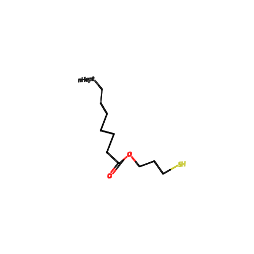 CCCCCCCCCCCCCC(=O)OCCCS